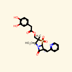 CC1(COC(=O)Cc2ccc(O)c(O)c2)[C@H](C(=O)O)N2C(=O)/C(=C/c3ccccn3)C2S1(=O)=O